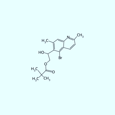 Cc1ccc2c(Br)c(C(O)COC(=O)C(C)(C)C)c(C)cc2n1